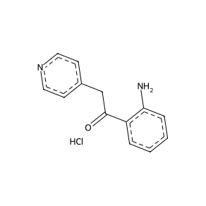 Cl.Nc1ccccc1C(=O)Cc1ccncc1